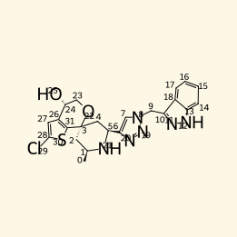 C[C@H]1C[C@@]2(C[C@@H](c3cn(Cc4n[nH]c5ccccc45)nn3)N1)OC[C@@H](O)c1cc(Cl)sc12